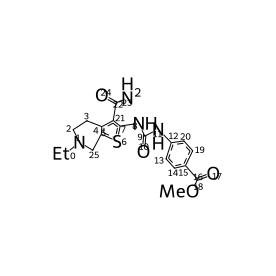 CCN1CCc2c(sc(NC(=O)Nc3ccc(C(=O)OC)cc3)c2C(N)=O)C1